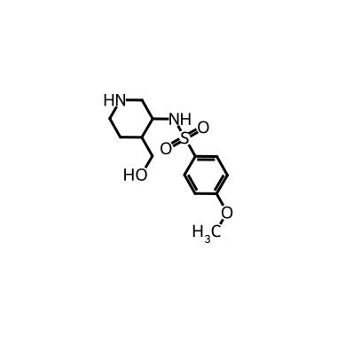 COc1ccc(S(=O)(=O)NC2CNCCC2CO)cc1